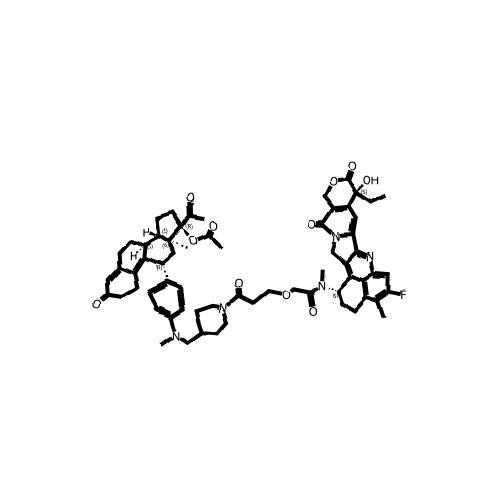 CC[C@@]1(O)C(=O)OCc2c1cc1n(c2=O)Cc2c-1nc1cc(F)c(C)c3c1c2[C@@H](N(C)C(=O)COCCC(=O)N1CCC(CN(C)c2ccc([C@H]4C[C@@]5(C)[C@@H](CC[C@]5(OC(C)=O)C(C)=O)[C@@H]5CCC6=CC(=O)CCC6=C54)cc2)CC1)CC3